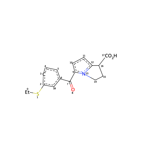 CCSc1cccc(C(=O)c2ccc3n2CCC3C(=O)O)c1